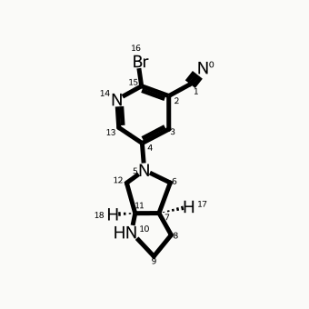 N#Cc1cc(N2C[C@H]3CCN[C@H]3C2)cnc1Br